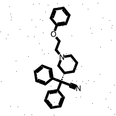 N#CC(c1ccccc1)(c1ccccc1)[C@H]1CCCN(CCOc2ccccc2)C1